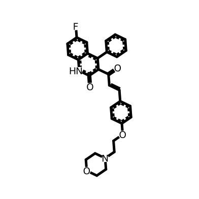 O=C(/C=C/c1ccc(OCCN2CCOCC2)cc1)c1c(-c2ccccc2)c2cc(F)ccc2[nH]c1=O